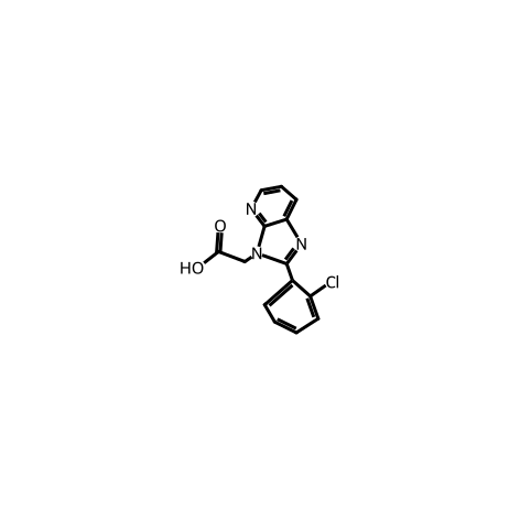 O=C(O)Cn1c(-c2ccccc2Cl)nc2cccnc21